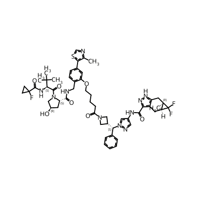 Cc1ncsc1-c1ccc(CNC(=O)[C@@H]2C[C@@H](O)CN2C(=O)[C@@H](NC(=O)C2(F)CC2)C(C)(C)C)c(OCCCCC(=O)N2CC([C@@H](c3ccccc3)n3cc(NC(=O)c4n[nH]c5c4C[C@@H]4C(F)(F)[C@]4(C)C5)cn3)C2)c1